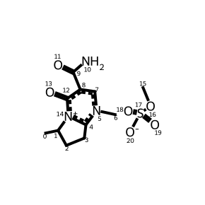 CC1CCc2n(C)cc(C(N)=O)c(=O)[n+]21.COS(=O)(=O)[O-]